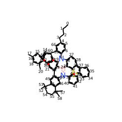 CCCCc1ccc(N2c3cc(-c4c(C)cc(C)cc4C)cc4c3B(c3c2ccc2c3sc3ccccc32)N(c2ccccc2)c2cc3c(cc2-4)C(C)(C)CCC3(C)C)c(-c2ccccc2)c1